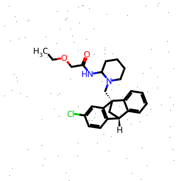 CCOCC(=O)NC1CCCCN1C[C@@]12C[C@H](c3ccccc31)c1ccc(Cl)cc12